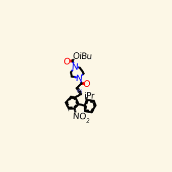 CC(C)COC(=O)N1CCN(C(=O)/C=C/c2cc[c]c([N+](=O)[O-])c2-c2ccccc2C(C)C)CC1